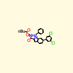 CCCCC(=O)ONC(=O)c1cc2ccc(-c3cc(Cl)cc(Cl)c3)cc2n1Cc1ccccc1